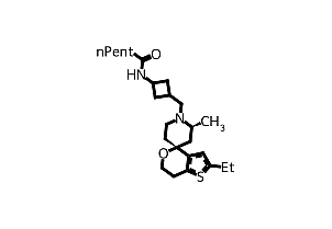 CCCCCC(=O)NC1CC(CN2CC[C@]3(C[C@@H]2C)OCCc2sc(CC)cc23)C1